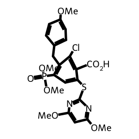 COc1ccc(Cc2c(P(=O)(OC)OC)cc(Sc3nc(OC)cc(OC)n3)c(C(=O)O)c2Cl)cc1